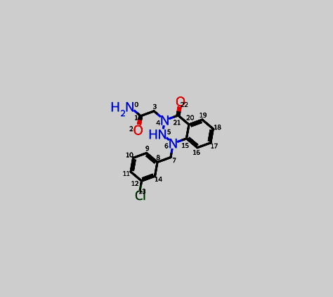 NC(=O)CN1NN(Cc2cccc(Cl)c2)c2ccccc2C1=O